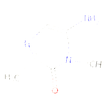 Cc1ncc(N)n(C)c1=O